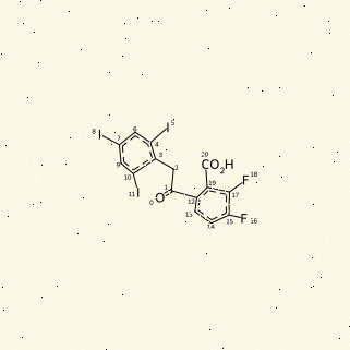 O=C(Cc1c(I)cc(I)cc1I)c1ccc(F)c(F)c1C(=O)O